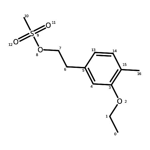 CCOc1cc(CCOS(C)(=O)=O)ccc1C